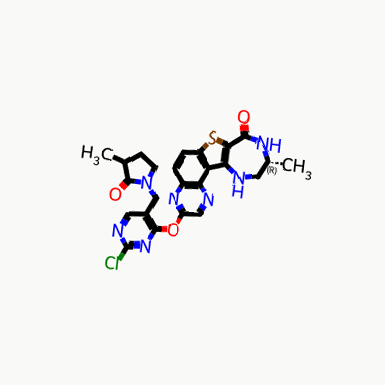 CC1CCN(Cc2cnc(Cl)nc2Oc2cnc3c(ccc4sc5c(c43)NC[C@@H](C)NC5=O)n2)C1=O